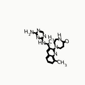 Cc1cccc2cc([C@H](C)Nc3ncnc(N)n3)c(N3CCNC(=O)CC3)nc12